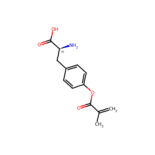 C=C(C)C(=O)Oc1ccc(C[C@H](N)C(=O)O)cc1